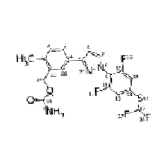 Cc1ccc(-c2ccn(-c3c(F)cc(SC(F)F)cc3F)n2)cc1COC(N)=O